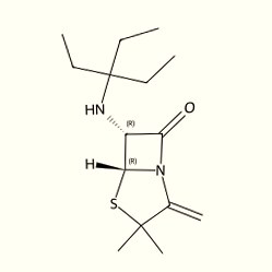 C=C1N2C(=O)[C@@H](NC(CC)(CC)CC)[C@H]2SC1(C)C